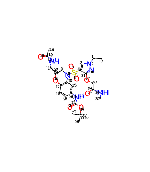 CCn1cc(S(=O)(=O)N2C[C@H](CNC(C)=O)Oc3ccc(NC(=O)OC(C)(C)C)cc32)c(OCC(=O)NC)n1